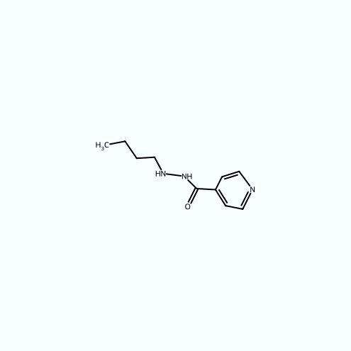 CCCCNNC(=O)c1ccncc1